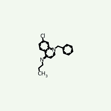 CCCN=c1ccn(Cc2ccccc2)c2cc(Cl)ccc12